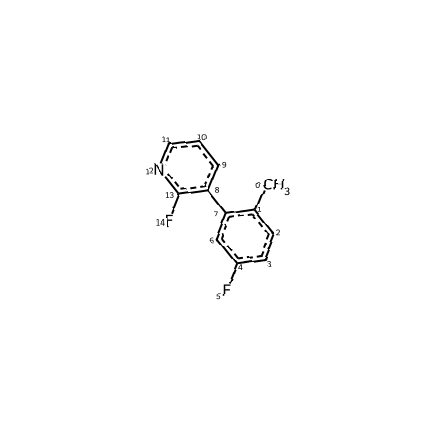 Cc1ccc(F)cc1-c1cccnc1F